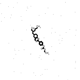 CCCCC(CC)CC1CCc2nc(-c3ccc(OC(=O)OCC)cc3)ncc2C1